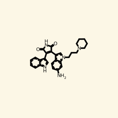 Nc1ccc2c(C3=C(c4c[nH]c5ccccc45)C(=O)NC3=O)cn(CCCN3CCCCC3)c2c1